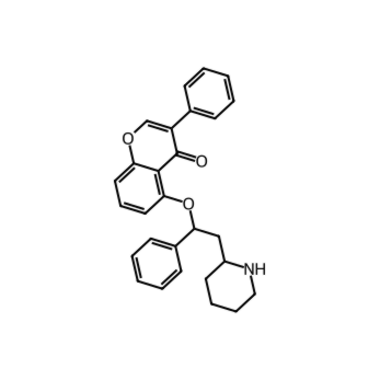 O=c1c(-c2ccccc2)coc2cccc(OC(CC3CCCCN3)c3ccccc3)c12